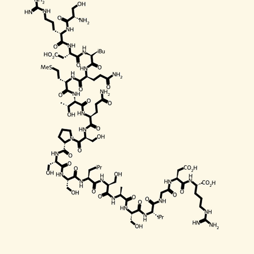 CC[C@H](C)[C@H](NC(=O)[C@H](CC(=O)O)NC(=O)[C@H](CCCNC(=N)N)NC(=O)[C@@H](N)CO)C(=O)N[C@@H](CCC(N)=O)C(=O)N[C@@H](CCSC)C(=O)N[C@H](C(=O)N[C@@H](CCC(N)=O)C(=O)N[C@@H](CO)C(=O)N1CCC[C@H]1C(=O)N[C@@H](CO)C(=O)N[C@@H](CO)C(=O)N[C@@H](CC(C)C)C(=O)N[C@@H](CO)C(=O)N[C@@H](C)C(=O)N[C@@H](CO)C(=O)N[C@H](C(=O)NCC(=O)N[C@@H](CC(=O)O)C(=O)N[C@@H](CCCNC(=N)N)C(=O)O)C(C)C)[C@@H](C)O